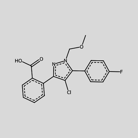 COCn1nc(-c2ccccc2C(=O)O)c(Cl)c1-c1ccc(F)cc1